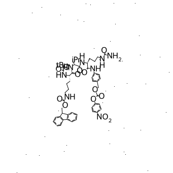 CC(C)[C@H](NC(=O)[C@H](CCCCNC(=O)OCC1c2ccccc2-c2ccccc21)NC(=O)OC(C)(C)C)C(=O)N[C@@H](CCCNC(N)=O)C(=O)Nc1ccc(COC(=O)Oc2ccc([N+](=O)[O-])cc2)cc1